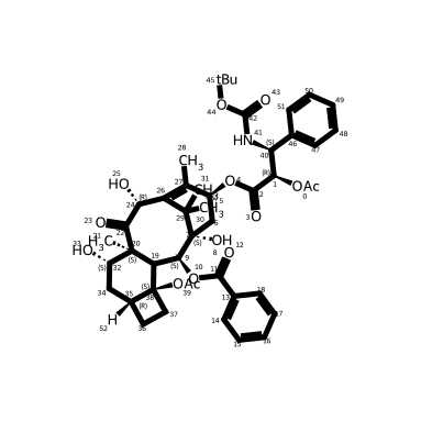 CC(=O)O[C@@H](C(=O)O[C@H]1C[C@@]2(O)[C@@H](OC(=O)c3ccccc3)C3[C@](C)(C(=O)[C@H](O)C(=C1C)C2(C)C)[C@@H](O)C[C@H]1CC[C@@]31OC(C)=O)[C@@H](NC(=O)OC(C)(C)C)c1ccccc1